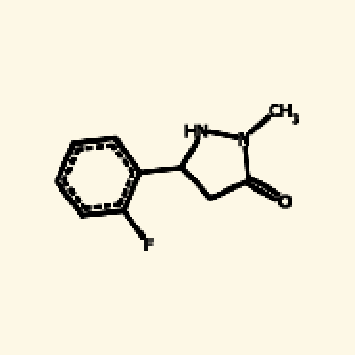 CN1NC(c2ccccc2F)CC1=O